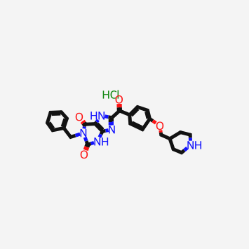 Cl.O=C(c1ccc(OCC2CCNCC2)cc1)c1nc2[nH]c(=O)n(Cc3ccccc3)c(=O)c2[nH]1